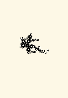 COc1ccc(C2(c3ccc(OCCOC(=O)CCC(=O)O)cc3)C=Cc3c4c(c5cc(-c6ccc(C)cc6OC)c(OC)cc5c3O2)-c2ccccc2C42CC(C)(C)CC(C)(C)C2)cc1